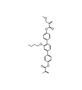 C=C(C)C(=O)Oc1ccc(-c2ccc(-c3ccc(OC(=O)C(=C)COC)cc3)c(OCCCC)c2)cc1